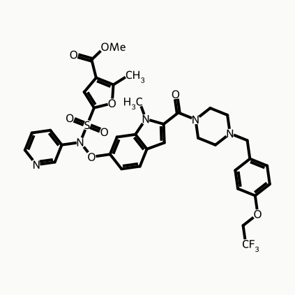 COC(=O)c1cc(S(=O)(=O)N(Oc2ccc3cc(C(=O)N4CCN(Cc5ccc(OCC(F)(F)F)cc5)CC4)n(C)c3c2)c2cccnc2)oc1C